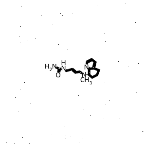 CN(C/C=C/CNC(N)=O)[C@H]1CCCc2cccnc21